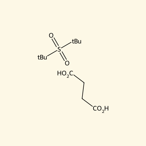 CC(C)(C)S(=O)(=O)C(C)(C)C.O=C(O)CCC(=O)O